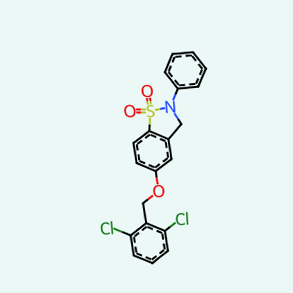 O=S1(=O)c2ccc(OCc3c(Cl)cccc3Cl)cc2CN1c1ccccc1